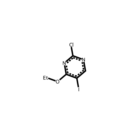 CCOc1nc(Cl)ncc1I